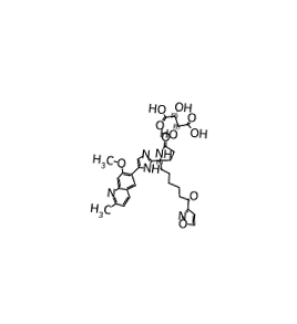 COc1cc2nc(C)ccc2cc1-c1cnc([C@@]2(CCCCCC(=O)c3ccon3)CCC(=O)N2)[nH]1.O=C(O)[C@H](O)[C@@H](O)C(=O)O